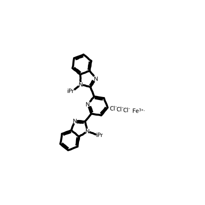 CC(C)n1c(-c2cccc(-c3nc4ccccc4n3C(C)C)n2)nc2ccccc21.[Cl-].[Cl-].[Cl-].[Fe+3]